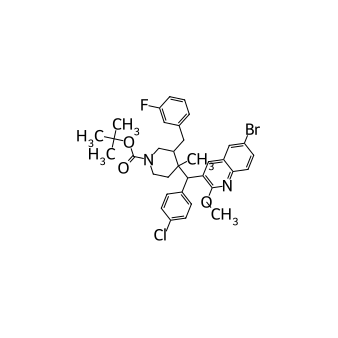 COc1nc2ccc(Br)cc2cc1C(c1ccc(Cl)cc1)C1(C)CCN(C(=O)OC(C)(C)C)CC1Cc1cccc(F)c1